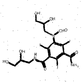 NC(=O)c1c(I)c(C(=O)NCC(O)CO)c(I)c(N(C=O)CC(O)CO)c1I